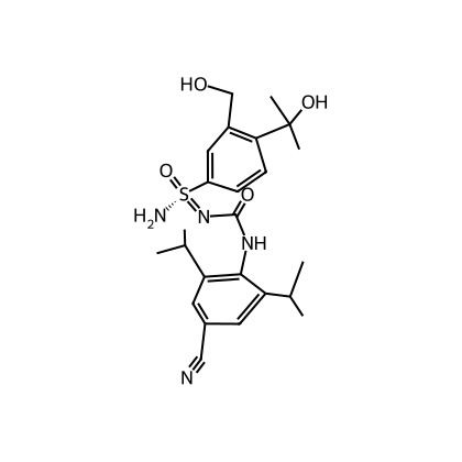 CC(C)c1cc(C#N)cc(C(C)C)c1NC(=O)N=[S@@](N)(=O)c1ccc(C(C)(C)O)c(CO)c1